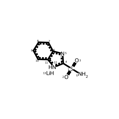 NS(=O)(=O)c1nc2ccccc2[nH]1.[LiH]